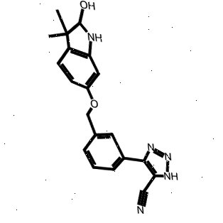 CC1(C)c2ccc(OCc3cccc(-c4nn[nH]c4C#N)c3)cc2NC1O